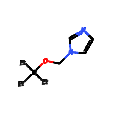 CC[Si](CC)(CC)OCn1ccnc1